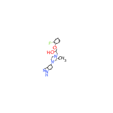 CC1[CH]N(c2ccc3[nH]ncc3c2)CCN1CC(O)COc1ccccc1F